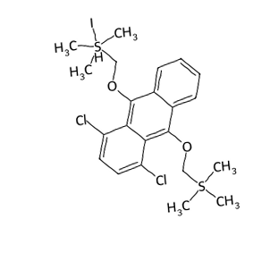 CS(C)(C)COc1c2ccccc2c(OC[SH](C)(C)(C)I)c2c(Cl)ccc(Cl)c12